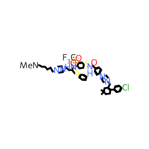 CNCCCCCCN1CCN(CCC(CSc2ccccc2)NC2CCC(SNC(=O)c3ccc(N4CCN(CC5=C(c6ccc(Cl)cc6)CCC(C)(C)C5)CC4)cc3)C=C2S(=O)(=O)C(F)(F)F)CC1